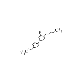 CCCCCc1ccc(-c2ccc(CCC)cc2)cc1F